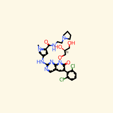 Cn1cc(Nc2ncc3cc(-c4c(Cl)cccc4Cl)c(=O)n(OC[C@@H](O)CO)c3n2)cc1C(=O)NCCN1CCCC1